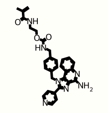 C=C(C)C(=O)NCCOC(=O)NCc1ccc(Cn2c(-c3ccncc3)nc3c(N)nc4ccccc4c32)cc1